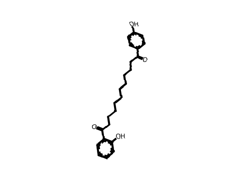 O=C(CCCCCCCCCCC(=O)c1ccccc1O)c1ccc(O)cc1